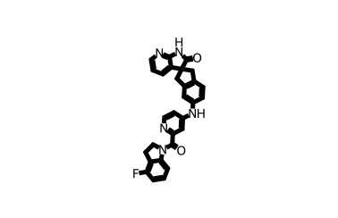 O=C(c1cc(Nc2ccc3c(c2)CC2(C3)C(=O)Nc3ncccc32)ccn1)N1CCc2c(F)cccc21